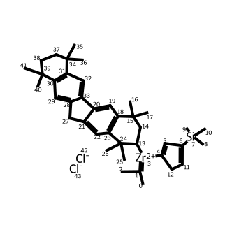 C[C](C)=[Zr+2]([C]1=CC([Si](C)(C)C)=CC1)[CH]1CC(C)(C)c2cc3c(cc2C1(C)C)Cc1cc2c(cc1-3)C(C)(C)CCC2(C)C.[Cl-].[Cl-]